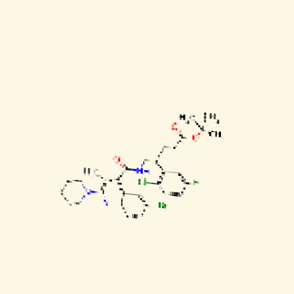 Cc1c(N2CCCCC2)nc2ccc(Br)cc2c1C(=O)NCC(CCC(=O)OC(C)(C)C)c1cc(F)ccc1Cl